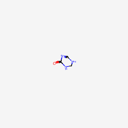 O=C1[N+]=CNCN1